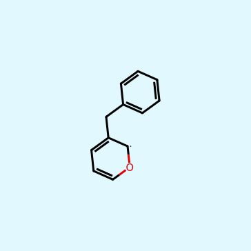 [CH]1OC=CC=C1Cc1ccccc1